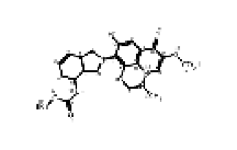 CN1COc2c(N3CC4C=CCC(NC(=O)OC(C)(C)C)C4C3)c(F)cc3c(=O)c(OC(=O)O)cn1c23